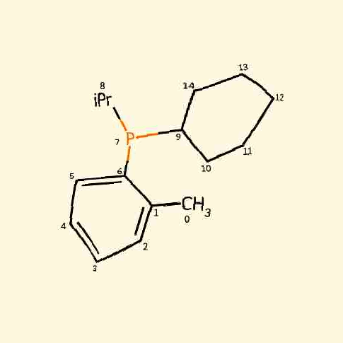 Cc1ccccc1P(C(C)C)C1CCCCC1